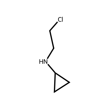 ClCCNC1CC1